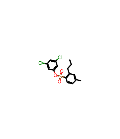 CCCc1cc(C)ccc1S(=O)(=O)Oc1cc(Cl)cc(Cl)c1